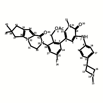 CC(=O)OCc1c(-c2cc(Nc3ccc(C4CN(C)C4)cc3)c(=O)n(C)c2)cc(F)cc1N1CCn2c(cc3c2CC(C)(C)C3)C1=O